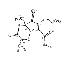 CCCN(CC(N)=O)C(=O)C1(C)CCN(C)C(=O)C1